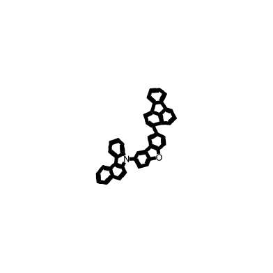 c1ccc2c(c1)-c1cccc3c(-c4ccc5oc6ccc(-n7c8ccccc8c8c9ccccc9ccc87)cc6c5c4)ccc-2c13